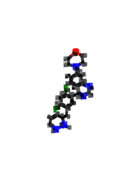 CN1N=CC=CC1Cc1cc(-c2ncnc3cc(N4CCOCC4)ccc23)c(F)cc1F